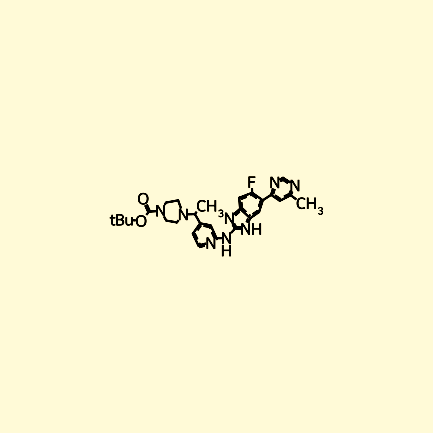 Cc1cc(-c2cc3[nH]c(Nc4cc(C(C)N5CCN(C(=O)OC(C)(C)C)CC5)ccn4)nc3cc2F)ncn1